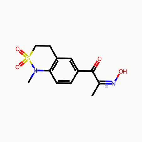 C/C(=N/O)C(=O)c1ccc2c(c1)CCS(=O)(=O)N2C